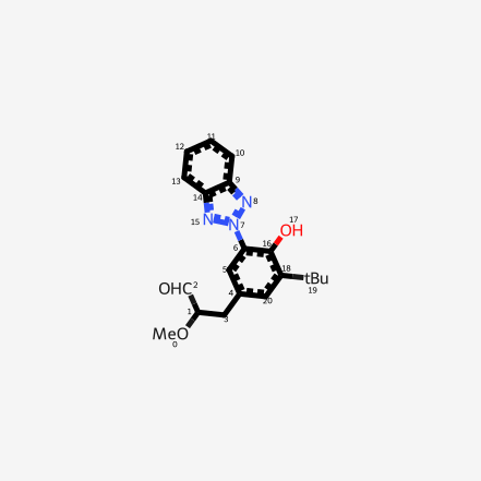 COC(C=O)Cc1cc(-n2nc3ccccc3n2)c(O)c(C(C)(C)C)c1